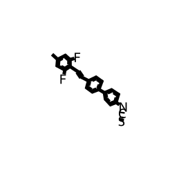 Cc1cc(F)c(C#Cc2ccc(-c3ccc(N=C=S)cc3)cc2)c(F)c1